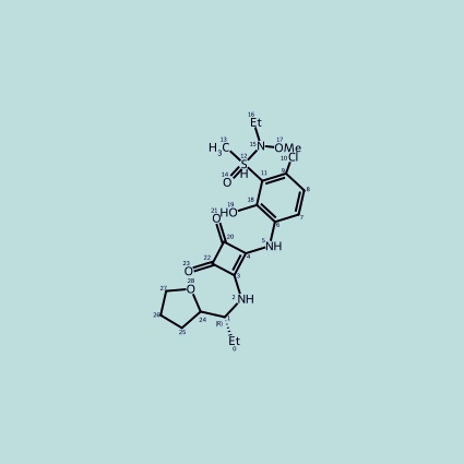 CC[C@@H](Nc1c(Nc2ccc(Cl)c([SH](C)(=O)N(CC)OC)c2O)c(=O)c1=O)C1CCCO1